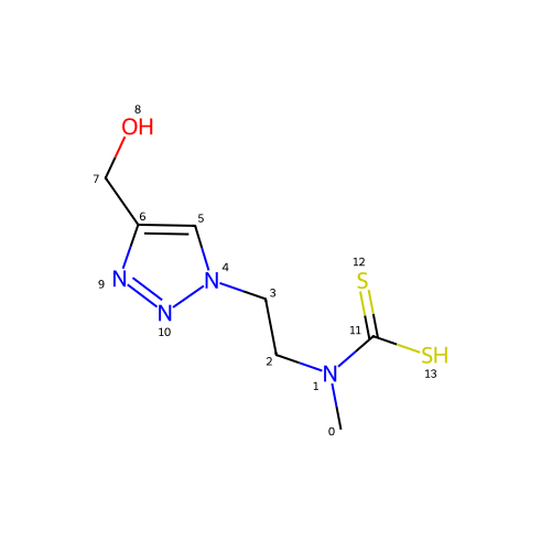 CN(CCn1cc(CO)nn1)C(=S)S